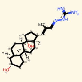 CCC(/C=N/NC(=N)N)=C\[C@H]1CC[C@]2(O)[C@@H]3CC[C@@H]4C[C@@H](O)CC[C@]4(C)[C@H]3CC[C@]12C